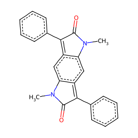 CN1C(=O)C(c2ccccc2)=c2cc3c(cc21)=C(c1ccccc1)C(=O)N3C